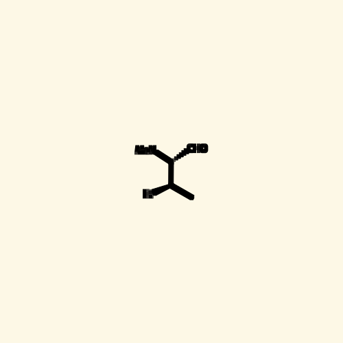 CC[C@H](C)[C@@H](C=O)NC